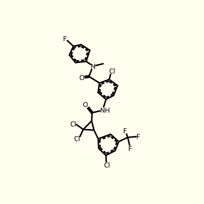 CN(C(=O)c1cc(NC(=O)C2C(c3cc(Cl)cc(C(F)(F)F)c3)C2(Cl)Cl)ccc1Cl)c1ccc(F)cc1